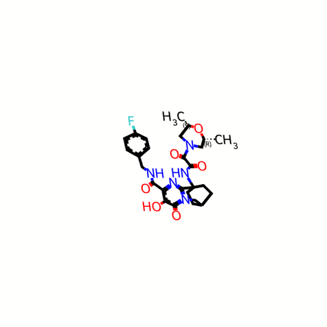 C[C@@H]1CN(C(=O)C(=O)NC23CCC(CC2)Cn2c3nc(C(=O)NCc3ccc(F)cc3)c(O)c2=O)C[C@H](C)O1